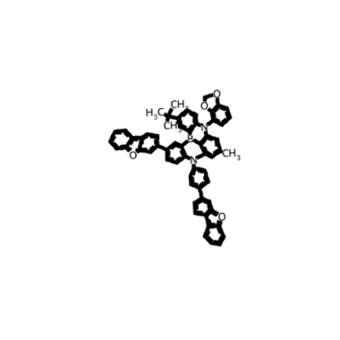 Cc1cc2c3c(c1)N(c1cccc4c1OCO4)c1ccc(C(C)(C)C)cc1B3c1cc(-c3ccc4c(c3)oc3ccccc34)ccc1N2c1ccc(-c2ccc3c(c2)oc2ccccc23)cc1